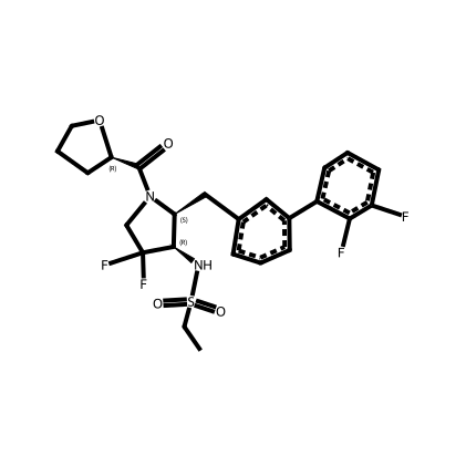 CCS(=O)(=O)N[C@@H]1[C@H](Cc2cccc(-c3cccc(F)c3F)c2)N(C(=O)[C@H]2CCCO2)CC1(F)F